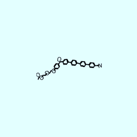 CC(=O)OCCOCCOc1ccc(C(=O)c2ccc(-c3ccc(-c4ccc(-c5ccc(C#N)cc5)cc4)cc3)cc2)cc1